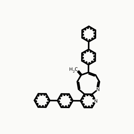 C=C1/C=C\c2c(-c3ccc(-c4ccccc4)cc3)ccnc2/N=C\C=C/1c1ccc(-c2ccccc2)cc1